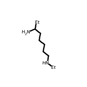 CCNCCCCCC(N)CC